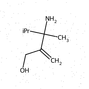 C=C(CO)C(C)(N)C(C)C